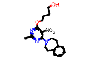 Cc1nc(OCCCCO)c([N+](=O)[O-])c(N2CCc3ccccc3CC2)n1